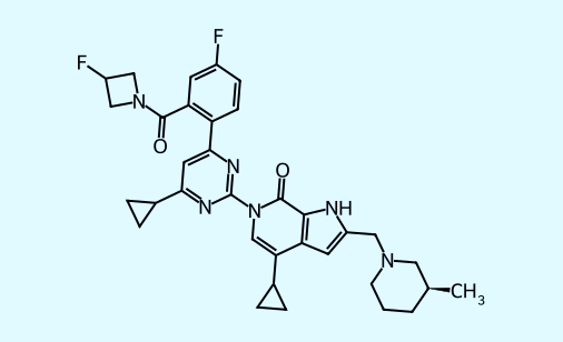 C[C@H]1CCCN(Cc2cc3c(C4CC4)cn(-c4nc(-c5ccc(F)cc5C(=O)N5CC(F)C5)cc(C5CC5)n4)c(=O)c3[nH]2)C1